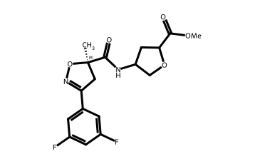 COC(=O)C1CC(NC(=O)[C@@]2(C)CC(c3cc(F)cc(F)c3)=NO2)CO1